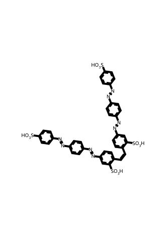 O=S(=O)(O)c1ccc(N=Nc2ccc(N=Nc3ccc(/C=C\c4ccc(N=Nc5ccc(N=Nc6ccc(S(=O)(=O)O)cc6)cc5)cc4S(=O)(=O)O)c(S(=O)(=O)O)c3)cc2)cc1